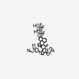 C[C@H](Oc1nc2c(F)c(-c3cccc4cccc(C#N)c34)c(Cl)cc2c2c1ccn2[C@H]1CCN[C@H](CC#N)C1)[C@@H]1CCCN1C.O=C(O)C(F)(F)F.O=C(O)C(F)(F)F